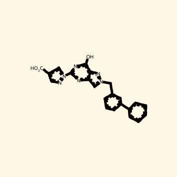 O=C(O)c1cnn(-c2nc(O)c3nn(Cc4cccc(-c5ccccc5)c4)cc3n2)c1